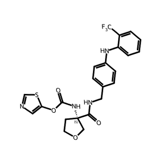 O=C(N[C@@]1(C(=O)NCc2ccc(Nc3ccccc3C(F)(F)F)cc2)CCOC1)Oc1cncs1